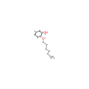 [CH2]CCCCCOc1ccccc1O